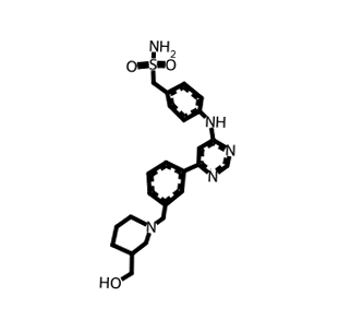 NS(=O)(=O)Cc1ccc(Nc2cc(-c3cccc(CN4CCCC(CO)C4)c3)ncn2)cc1